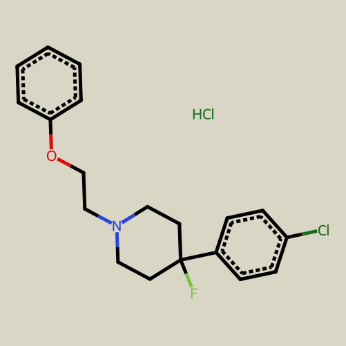 Cl.FC1(c2ccc(Cl)cc2)CCN(CCOc2ccccc2)CC1